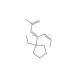 C=C(C)/C=C(\C=C/C)C1(CC)CCCC1